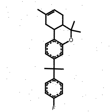 CC1=CCC2C(C1)c1ccc(C(C)(C)c3ccc(F)cc3)cc1OC2(C)C